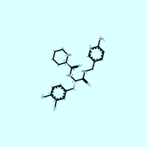 Nc1ccc(CNC(=O)[C@H](Cc2ccc(Cl)c(Cl)c2)NC(=O)[C@H]2CCCCN2)cn1